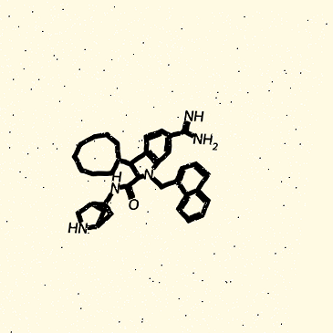 N=C(N)c1ccc2c(c1)N(Cc1cccc3ccccc13)C(C(=O)NC1CC3CC1CN3)C2C1CCCCCCCC1